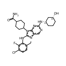 NC(=O)C1CCC(n2c(Nc3c(F)ccc(Cl)c3F)nc3cnc(N[C@H]4CCC[C@@H](O)C4)nc32)CC1